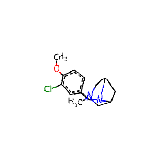 COc1ccc(CN2C3CC2CN(C)C3)cc1Cl